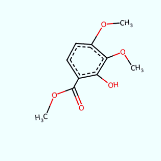 COC(=O)c1ccc(OC)c(OC)c1O